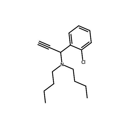 C#CC(c1ccccc1Cl)N(CCCC)CCCC